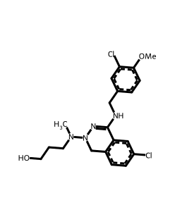 COc1ccc(CNC2=NN(N(C)CCCO)Cc3ccc(Cl)cc32)cc1Cl